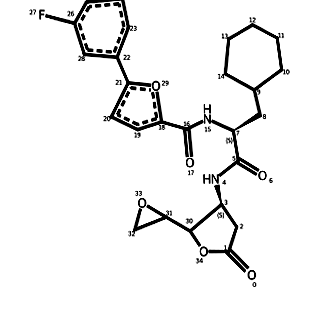 O=C1C[C@H](NC(=O)[C@H](CC2CCCCC2)NC(=O)c2ccc(-c3cccc(F)c3)o2)C(C2CO2)O1